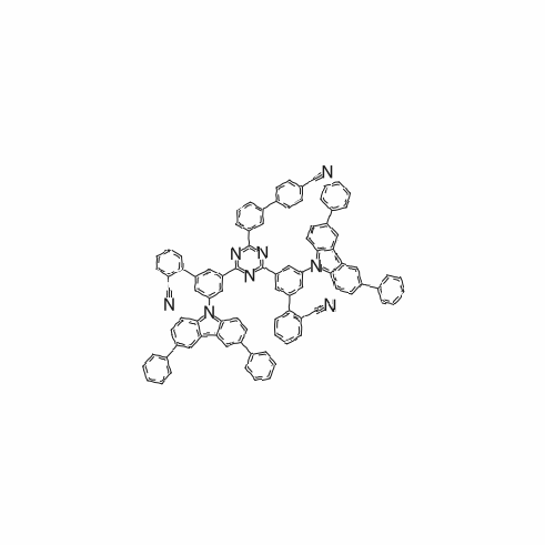 N#Cc1ccc(-c2cccc(-c3nc(-c4cc(-c5ccccc5C#N)cc(-n5c6ccc(-c7ccccc7)cc6c6cc(-c7ccccc7)ccc65)c4)nc(-c4cc(-c5ccccc5C#N)cc(-n5c6ccc(-c7ccccc7)cc6c6cc(-c7ccccc7)ccc65)c4)n3)c2)cc1